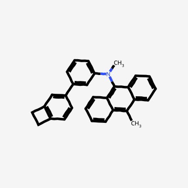 Cc1c2ccccc2c(N(C)c2cccc(-c3ccc4c(c3)CC4)c2)c2ccccc12